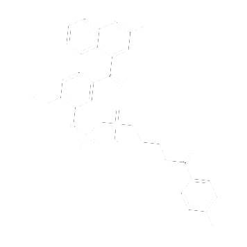 C=C(c1ccc(OC)c(NP(=O)(O)OP(=O)(O)OCCNC(=O)c2ccc(C)cc2)c1)c1cc(C)nc2ccccc12